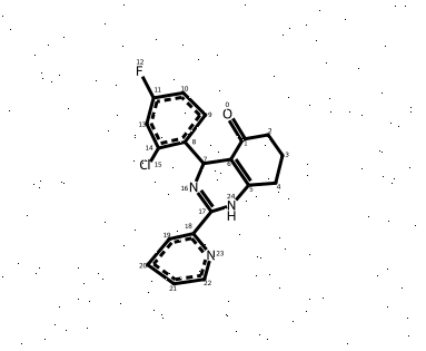 O=C1CCCC2=C1C(c1ccc(F)cc1Cl)N=C(c1ccccn1)N2